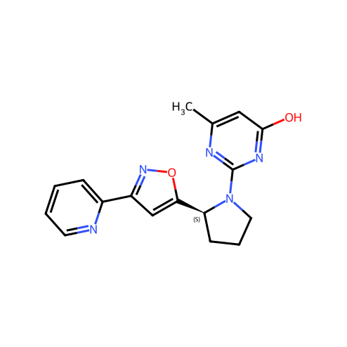 Cc1cc(O)nc(N2CCC[C@H]2c2cc(-c3ccccn3)no2)n1